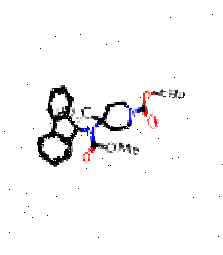 COC(=O)N(C1c2ccccc2-c2ccccc21)C1(C(=O)O)CCN(C(=O)OC(C)(C)C)CC1